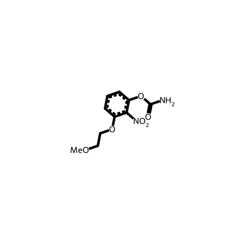 COCCOc1cccc(OC(N)=O)c1[N+](=O)[O-]